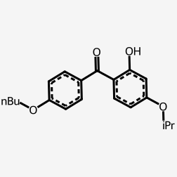 CCCCOc1ccc(C(=O)c2ccc(OC(C)C)cc2O)cc1